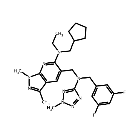 CCN(CC1CCCC1)c1nc2c(cc1CN(Cc1cc(F)cc(F)c1)c1nnn(C)n1)c(C)nn2C